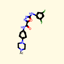 CC(=O)N1CCN(c2ccc(NC(=O)c3nnc(Nc4cc(F)cc(F)c4)o3)cc2)CC1